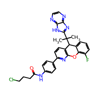 CC(C)(c1nc2nccnc2[nH]1)C1c2ccc(-c3ccc(NC(=O)CCCCl)cc3)nc2Oc2c(F)cccc21